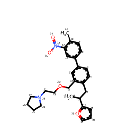 [CH2]C(Cc1ccc(-c2ccc(C)c([N+](=O)[O-])c2)cc1COCCN1CCCC1)c1ccco1